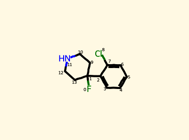 FC1(c2ccccc2Cl)CCNCC1